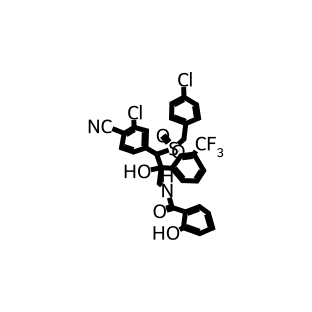 N#Cc1ccc(C(C(O)(CNC(=O)c2ccccc2O)c2cccc(C(F)(F)F)c2)S(=O)(=O)Cc2ccc(Cl)cc2)cc1Cl